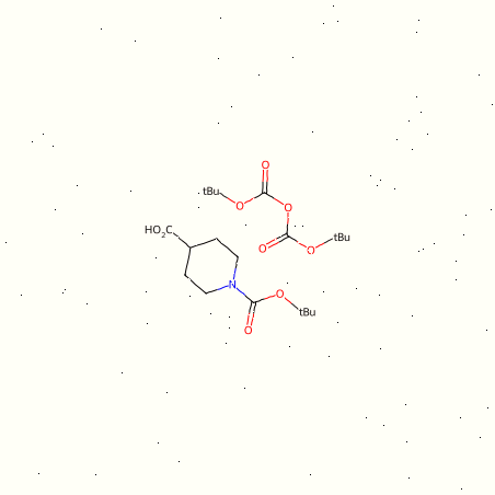 CC(C)(C)OC(=O)N1CCC(C(=O)O)CC1.CC(C)(C)OC(=O)OC(=O)OC(C)(C)C